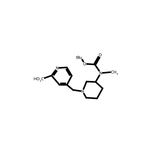 CN(C(=O)OC(C)(C)C)C1CCCN(Cc2ccnc(C(=O)O)c2)C1